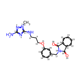 Cn1nc(N)nc1NCCCOc1cccc(CN2C(=O)c3ccccc3C2=O)c1